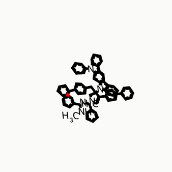 C/C=C(/c1ccc(-c2ccccc2)cc1)C(C/N=C(\N=C(/NC)c1ccccc1)c1ccccc1)(Cc1ccc(-c2ccccc2)cc1)n1c2ccccc2c2cc3c4ccccc4n(-c4ccccc4)c3cc21